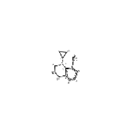 CCc1cccc2c1N(C1CC1)CCC2